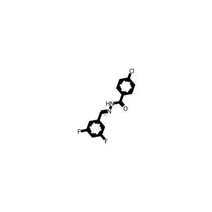 O=C(N/N=C/c1cc(F)cc(F)c1)c1ccc(Cl)cc1